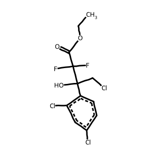 CCOC(=O)C(F)(F)C(O)(CCl)c1ccc(Cl)cc1Cl